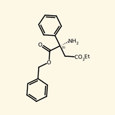 CCOC(=O)C[C@@](N)(C(=O)OCc1ccccc1)c1ccccc1